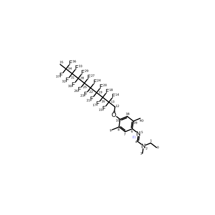 CCN(C)/C=N/c1cc(C)c(OCC(F)(F)C(F)(F)C(F)(F)C(F)(F)C(F)(F)C(F)(F)C(F)(F)C(C)(F)F)cc1C